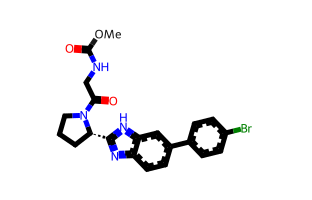 COC(=O)NCC(=O)N1CCC[C@H]1c1nc2ccc(-c3ccc(Br)cc3)cc2[nH]1